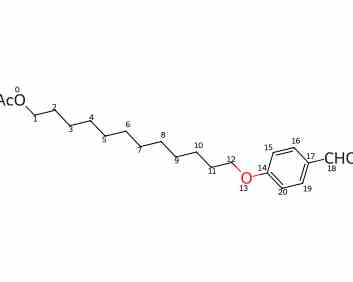 CC(=O)OCCCCCCCCCCCCOc1ccc(C=O)cc1